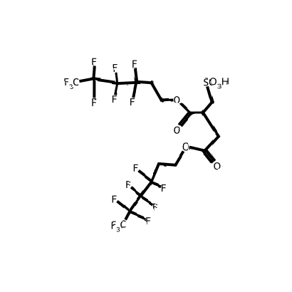 O=C(CC(CS(=O)(=O)O)C(=O)OCCC(F)(F)C(F)(F)C(F)(F)C(F)(F)F)OCCC(F)(F)C(F)(F)C(F)(F)C(F)(F)F